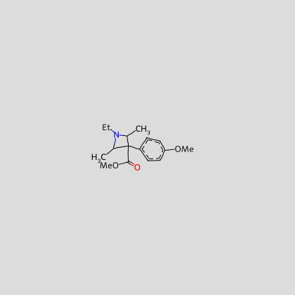 CCN1C(C)C(C(=O)OC)(c2ccc(OC)cc2)C1C